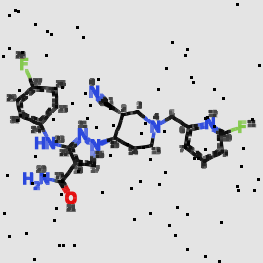 N#C[C@H]1CN(Cc2cccc(F)n2)CC[C@H]1n1cc(C(N)=O)c(Nc2ccc(F)cc2)n1